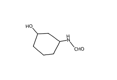 O=CNC1CCCC(O)C1